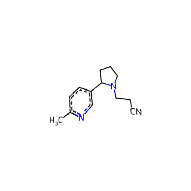 Cc1ccc(C2CCCN2CCC#N)cn1